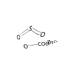 O=C([O-])[O-].O=S=O.[Zn+2]